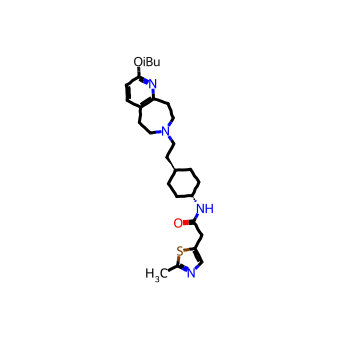 Cc1ncc(CC(=O)N[C@H]2CC[C@H](CCN3CCc4ccc(OCC(C)C)nc4CC3)CC2)s1